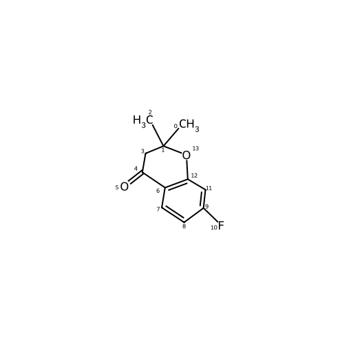 CC1(C)CC(=O)c2ccc(F)cc2O1